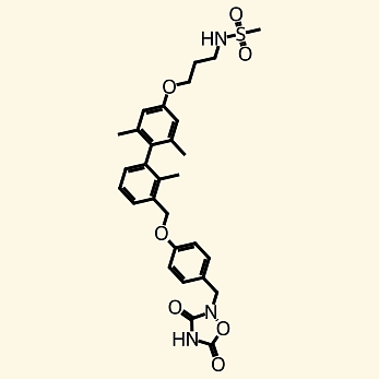 Cc1cc(OCCCNS(C)(=O)=O)cc(C)c1-c1cccc(COc2ccc(Cn3oc(=O)[nH]c3=O)cc2)c1C